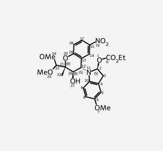 CCOC(=O)O[C@H]1Cc2cc(OC)ccc2N1[C@H]1c2cc([N+](=O)[O-])ccc2O[C@@](C)(C(OC)OC)[C@@H]1O